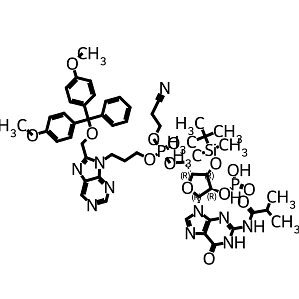 COc1ccc(C(OCc2nc3cncnc3n2CCCOP(=O)(OCCC#N)OC[C@H]2O[C@@H](n3cnc4c(=O)[nH]c(NC(=O)C(C)C)nc43)[C@H](O[PH](=O)O)[C@@H]2O[Si](C)(C)C(C)(C)C)(c2ccccc2)c2ccc(OC)cc2)cc1